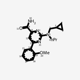 CCCN(CC1CC1)c1nc(C(N)=O)cc(-c2ccccc2OC)n1